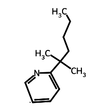 CCCCC(C)(C)c1cc[c]cn1